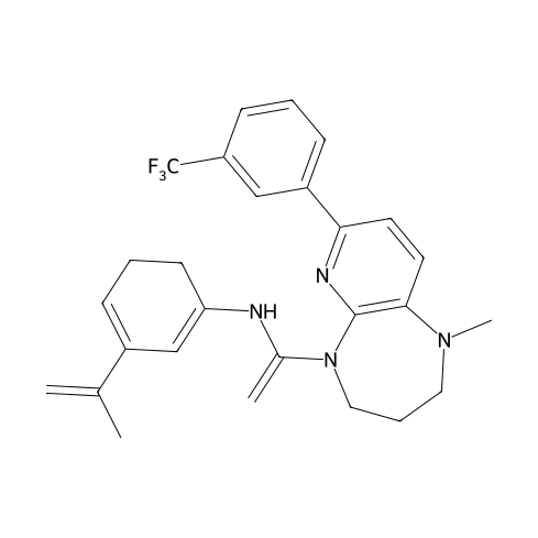 C=C(C)C1=CCCC(NC(=C)N2CCCN(C)c3ccc(-c4cccc(C(F)(F)F)c4)nc32)=C1